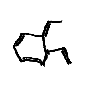 C=CN1N=CC=C/C1=C/C